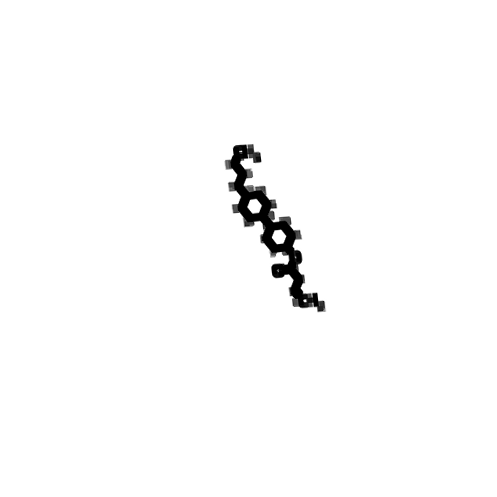 C=CCC(=O)OC1CCC(C2CCC(CCCC)CC2)CC1